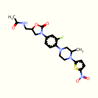 CC(=O)NCC1CN(c2ccc(N3CCN(c4ccc([N+](=O)[O-])s4)C(C)C3)c(F)c2)C(=O)O1